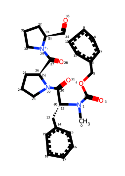 CN(C(=O)OCc1ccccc1)[C@H](Cc1ccccc1)C(=O)N1CCC[C@H]1C(=O)[N+]1CCC[C@H]1C=O